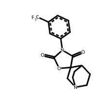 O=C1OC2(CN3CCC2CC3)C(=O)N1c1cccc(C(F)(F)F)c1